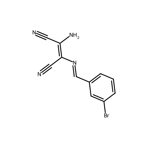 N#CC(N)=C(C#N)N=Cc1cccc(Br)c1